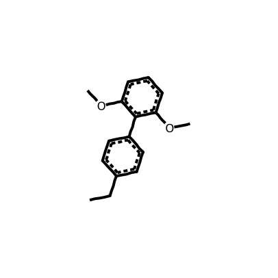 CCc1ccc(-c2c(OC)cccc2OC)cc1